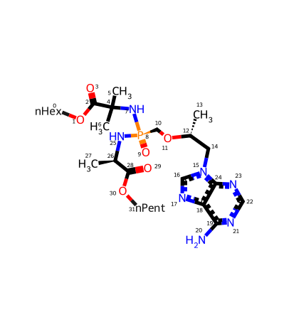 CCCCCCOC(=O)C(C)(C)N[P@@](=O)(CO[C@H](C)Cn1cnc2c(N)ncnc21)N[C@H](C)C(=O)OCCCCC